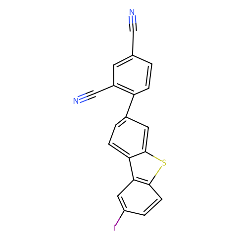 N#Cc1ccc(-c2ccc3c(c2)sc2ccc(I)cc23)c(C#N)c1